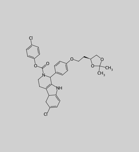 CC1(C)OC[C@H](CCOc2ccc(C3C4=C(CCN3C(=O)Oc3ccc(Cl)cc3)C3CC(Cl)=CC=C3N4)cc2)O1